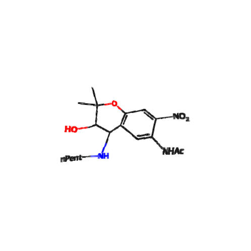 CCCCCNC1c2cc(NC(C)=O)c([N+](=O)[O-])cc2OC(C)(C)C1O